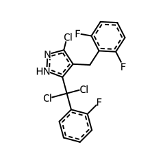 Fc1ccccc1C(Cl)(Cl)c1[nH]nc(Cl)c1Cc1c(F)cccc1F